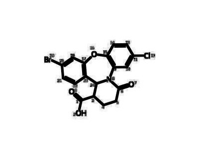 O=C(O)C1CCC(=O)N2c3cc(Cl)ccc3Oc3cc(Br)ccc3C12